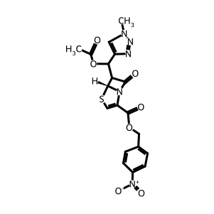 CC(=O)OC(c1cn(C)nn1)C1C(=O)N2C(C(=O)OCc3ccc([N+](=O)[O-])cc3)=CS[C@H]12